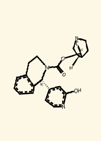 O=C(O[C@@H]1CN2CCC1CC2)N1CCc2ccccc2[C@H]1c1ccnc(O)c1